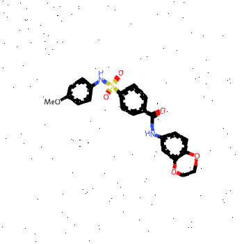 COc1ccc(NS(=O)(=O)c2ccc(C(=O)Nc3ccc4c(c3)OCCO4)cc2)cc1